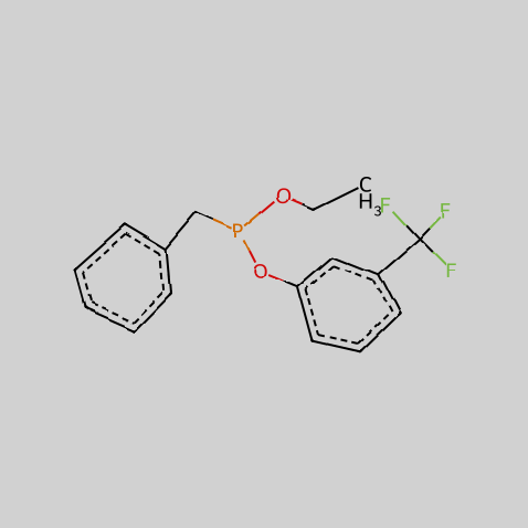 CCOP(Cc1ccccc1)Oc1cccc(C(F)(F)F)c1